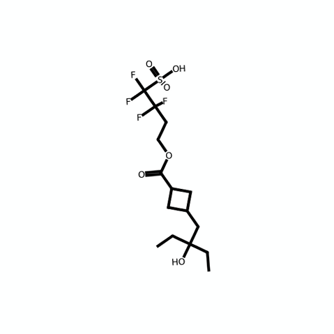 CCC(O)(CC)CC1CC(C(=O)OCCC(F)(F)C(F)(F)S(=O)(=O)O)C1